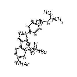 CC(=O)Nc1ccc(-c2cnc(-c3ccc(NCC(C)O)cc3)s2)c(S(=O)(=O)NC(C)(C)C)c1